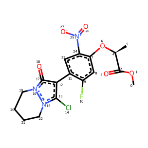 COC(=O)[C@H](C)Oc1cc(F)c(-c2c(Cl)n3n(c2=O)CCCC3)cc1[N+](=O)[O-]